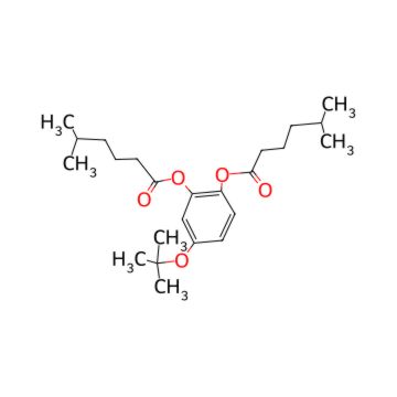 CC(C)CCCC(=O)Oc1ccc(OC(C)(C)C)cc1OC(=O)CCCC(C)C